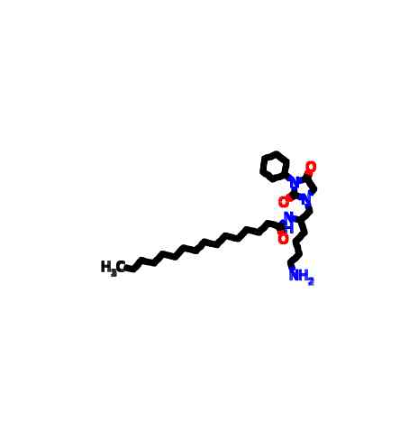 CCCCCCCCCCCCCCCC(=O)NC(CCCCN)CN1CC(=O)N(C2CCCCC2)C1=O